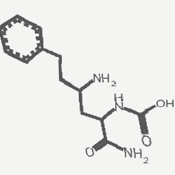 NC(=O)C(CC(N)CCc1ccccc1)NC(=O)O